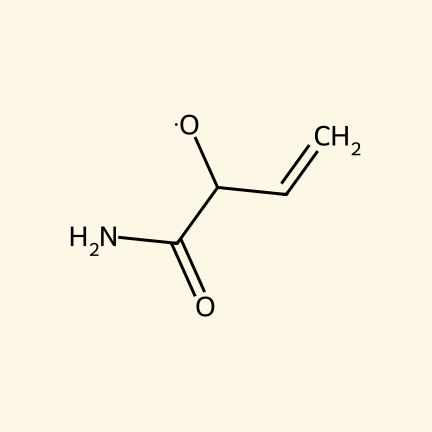 C=CC([O])C(N)=O